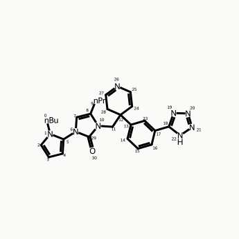 CCCCn1cccc1-n1cc(CCC)n(CC2(c3cccc(-c4nnn[nH]4)c3)C=CN=CC2)c1=O